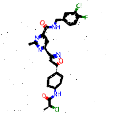 Cc1nc(C(=O)NCc2ccc(F)c(Cl)c2)cc(C2=NOC([C@H]3CC[C@H](NC(=O)[C@H](C)Cl)CC3)C2)n1